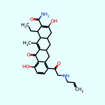 C=CCNCC(=O)c1ccc(O)c2c1CC1CC3CC(O)=C(C(N)=O)C(CC)C3C(C)=C1C2=O